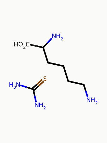 NC(N)=S.NCCCCC(N)C(=O)O